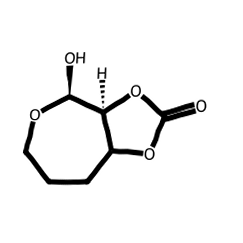 O=C1OC2CCCO[C@@H](O)[C@H]2O1